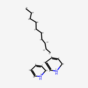 C1=CCNC=C1.C1=CCNC=C1.CCCCCCCCCC